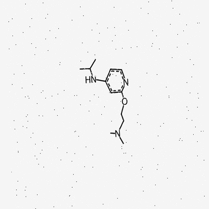 CC(C)Nc1ccnc(OCCN(C)C)c1